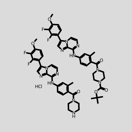 COc1ccc(-c2cnc3c(Nc4ccc(C(=O)N5CCN(C(=O)OC(C)(C)C)CC5)c(C)c4)nccn23)c(F)c1F.COc1ccc(-c2cnc3c(Nc4ccc(C(=O)N5CCNCC5)c(C)c4)nccn23)c(F)c1F.Cl